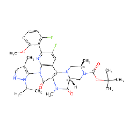 COc1cccc(F)c1-c1nc2c(cc1F)c1c(c(=O)n2-c2c(C)cnn2C(C)C)N(C)C(=O)[C@H]2CN(C(=O)OC(C)(C)C)[C@H](C)CN12